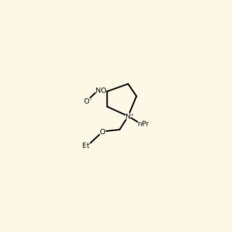 CCC[N+]1(COCC)CCCC1.O=N[O-]